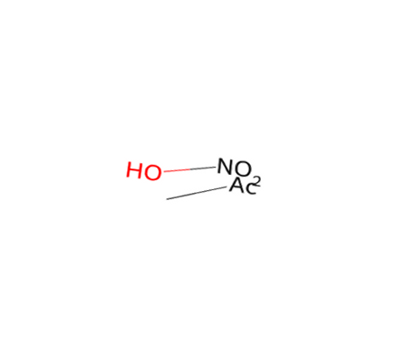 CC(C)=O.O=[N+]([O-])O